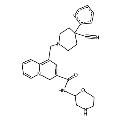 N#CC1(c2ccccn2)CCN(CC2=C3C=CC=CN3CC(C(=O)NC3CNCCO3)=C2)CC1